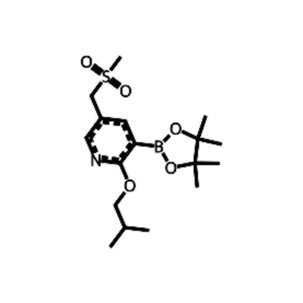 CC(C)COc1ncc(CS(C)(=O)=O)cc1B1OC(C)(C)C(C)(C)O1